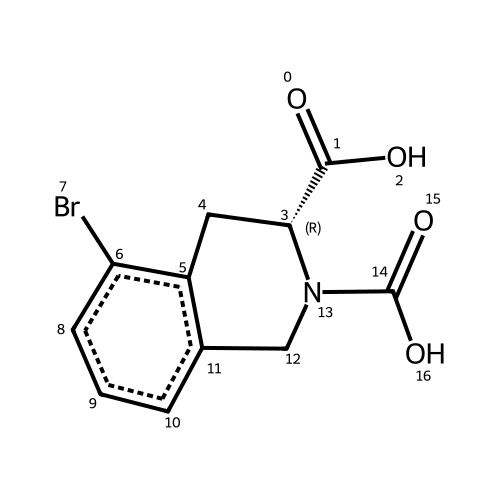 O=C(O)[C@H]1Cc2c(Br)cccc2CN1C(=O)O